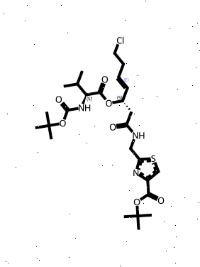 CC(C)[C@H](NC(=O)OC(C)(C)C)C(=O)O[C@H](/C=C/CCCl)CC(=O)NCc1nc(C(=O)OC(C)(C)C)cs1